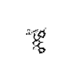 CCC[CH2][Sn]([CH]=CC1=C(c2ccc(F)cc2)C(C)=C(c2ccccc2)N(CC)C1)([CH2]CCC)[CH2]CCC